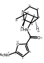 CC(=O)Nc1ccc(C(=O)N[C@@H]2C3CCN(CC3)[C@H]2C)o1